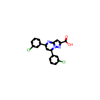 O=C(O)c1cc2nc(-c3cccc(Cl)c3)cc(-c3cccc(Cl)c3)n2n1